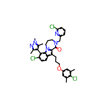 Cc1cc(OCCCc2c3n(c4c(-c5c(C)nn(C)c5C)c(Cl)ccc24)CCCN(Cc2cccc(Cl)n2)C3=O)cc(C)c1Cl